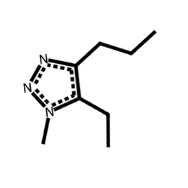 CCCc1nnn(C)c1CC